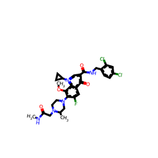 CNC(=O)CN1CCN(c2c(F)cc3c(=O)c(C(=O)NCc4ccc(Cl)cc4Cl)cn(C4CC4)c3c2OC)CC1C